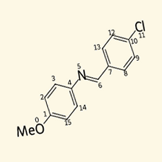 COc1ccc(N=Cc2ccc(Cl)cc2)cc1